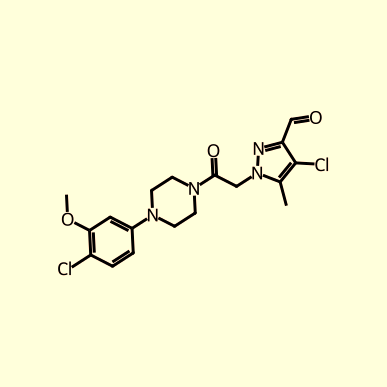 COc1cc(N2CCN(C(=O)Cn3nc(C=O)c(Cl)c3C)CC2)ccc1Cl